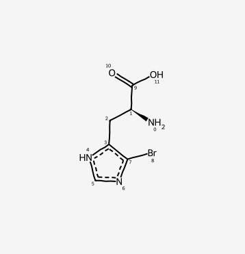 N[C@@H](Cc1[nH]cnc1Br)C(=O)O